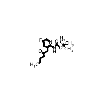 CCCCC(=O)Cc1cc(F)cnc1NC(=O)OC(C)(C)C